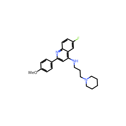 COc1ccc(-c2cc(NCCCN3CCCCC3)c3cc(F)ccc3n2)cc1